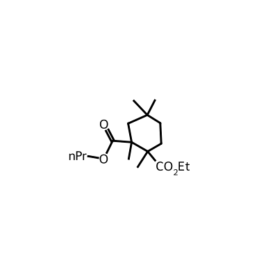 CCCOC(=O)C1(C)CC(C)(C)CCC1(C)C(=O)OCC